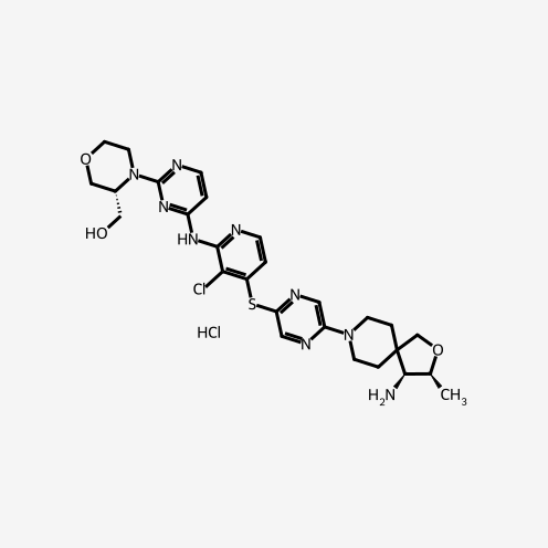 C[C@@H]1OCC2(CCN(c3cnc(Sc4ccnc(Nc5ccnc(N6CCOC[C@H]6CO)n5)c4Cl)cn3)CC2)[C@@H]1N.Cl